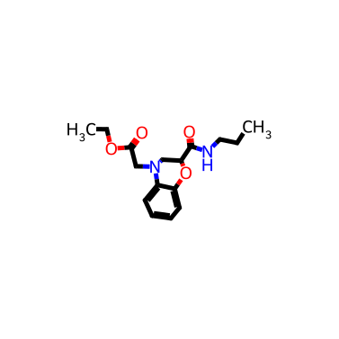 CCCNC(=O)C1CN(CC(=O)OCC)c2ccccc2O1